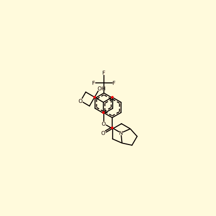 O=C(c1cccc(C2(O)COC2)c1)N1C2CCC1CC(Oc1ccc(C(F)(F)F)cc1)C2